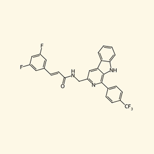 O=C(/C=C/c1cc(F)cc(F)c1)NCc1cc2c([nH]c3ccccc32)c(-c2ccc(C(F)(F)F)cc2)n1